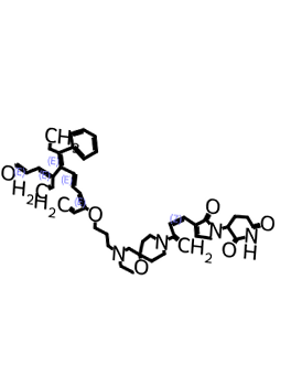 C=C\C(=C/C=C/C(C(/C=C)=C/C=C/O)=C(/CC)c1ccccc1)OCCCN1CCOC2(CCN(C(=C)/C=C\C3=CCN(C4CCC(=O)NC4=O)C3=O)CC2)C1